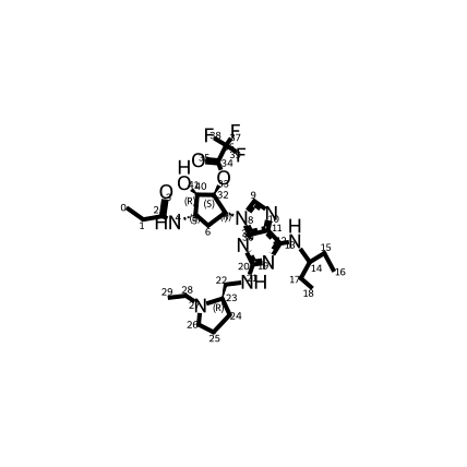 CCC(=O)N[C@H]1C[C@@H](n2cnc3c(NC(CC)CC)nc(NC[C@H]4CCCN4CC)nc32)[C@H](OC(=O)C(F)(F)F)[C@@H]1O